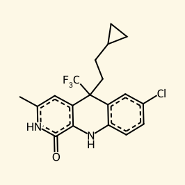 Cc1cc2c(c(=O)[nH]1)Nc1ccc(Cl)cc1C2(CCC1CC1)C(F)(F)F